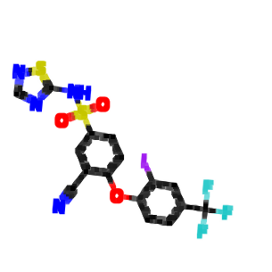 N#Cc1cc(S(=O)(=O)Nc2ncns2)ccc1Oc1ccc(C(F)(F)F)cc1I